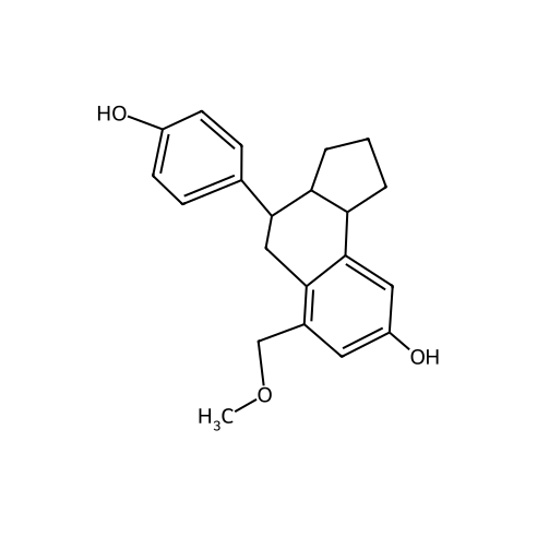 COCc1cc(O)cc2c1CC(c1ccc(O)cc1)C1CCCC21